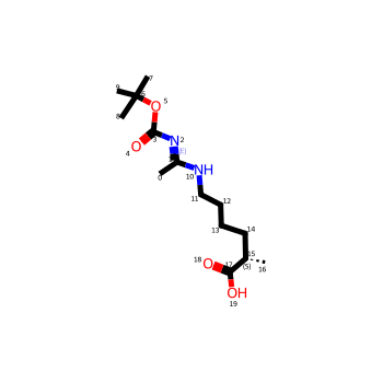 C/C(=N\C(=O)OC(C)(C)C)NCCCC[C@H](C)C(=O)O